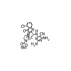 CC(Nc1nc(N)nc(N)c1C#N)c1nc2cccc(Cl)c2c(=O)n1N1CCN(C(=O)OC(C)(C)C)CC1